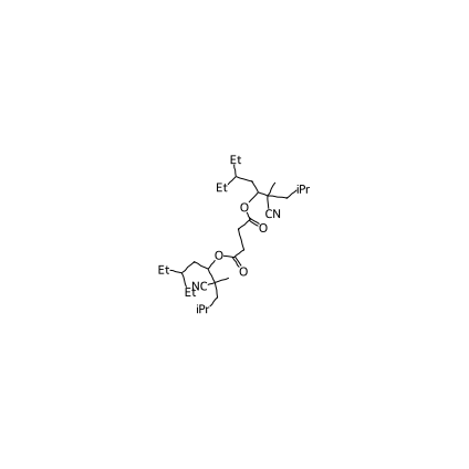 CCC(CC)CC(OC(=O)CCC(=O)OC(CC(CC)CC)C(C)(C#N)CC(C)C)C(C)(C#N)CC(C)C